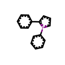 c1ccc(-c2cccp2-c2ccccc2)cc1